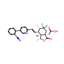 C[C@H]1OC(=O)[C@]2(CC(=O)O)CC(F)(F)[C@@H](C)[C@H](/C=C/c3ccc(-c4ccccc4C#N)cn3)[C@H]12